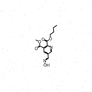 CCCCOC(=O)c1ncc(C=NO)cc1C(=O)OC